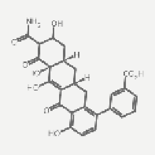 NC(=O)C1C(=O)[C@@]2(O)C(O)=C3C(=O)c4c(O)ccc(-c5cccc(C(=O)O)c5)c4C[C@H]3C[C@H]2CC1O